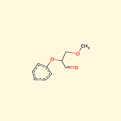 COCC(C=O)Oc1cc[c]cc1